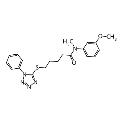 COc1cccc(N(C)C(=O)CCCCSc2nnnn2-c2ccccc2)c1